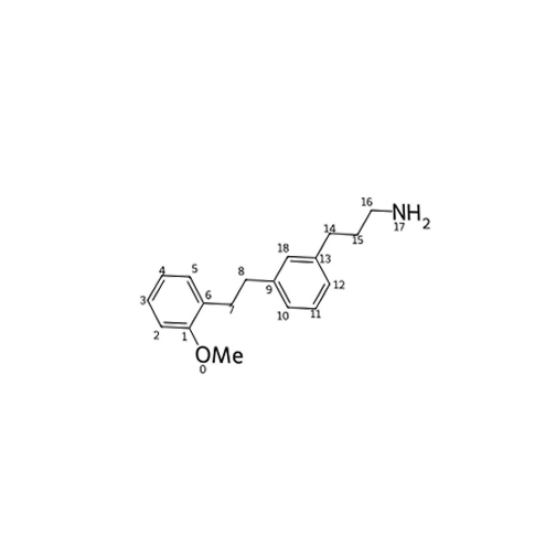 COc1ccccc1CCc1cccc(CCCN)c1